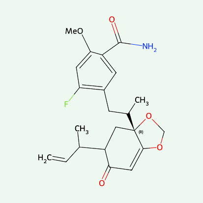 C=CC(C)C1C[C@]2(C(C)Cc3cc(C(N)=O)c(OC)cc3F)OCOC2=CC1=O